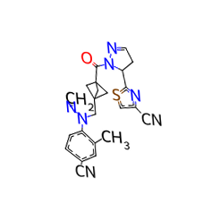 C=NN(CC12CC(C(=O)N3N=CCC3c3nc(C#N)cs3)(C1)C2)c1ccc(C#N)cc1C